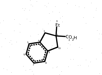 CCC1(C(=O)O)Cc2ccccc2C1